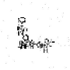 CC(C)OC(=O)NC12CCC(c3ncc(-c4ccc(NC(=O)NC(C)(C)c5ccccn5)cc4S(=O)(=O)NC(C)(C)C)s3)(CC1)CC2